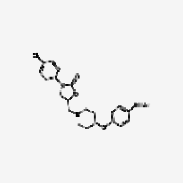 CC(=O)Nc1ccc(OC2CCN(CC3CN(c4ccc(Cl)cc4)C(=O)O3)CC2)cc1